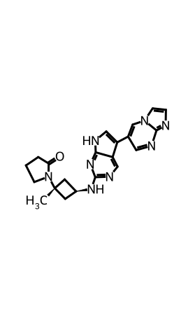 C[C@]1(N2CCCC2=O)C[C@H](Nc2ncc3c(-c4cnc5nccn5c4)c[nH]c3n2)C1